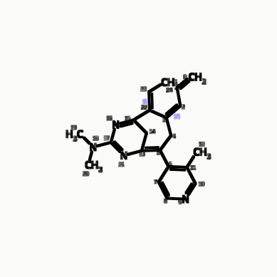 C=C/C=C1/CC(c2ccncc2C)=C2CC(=NC(N(C)C)=N2)/C1=C/C